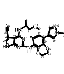 COCC(C)Nc1nc(Nc2ccc(-c3cnn(C)c3)c3c2OCCO3)nc2[nH]cc(C#N)c12